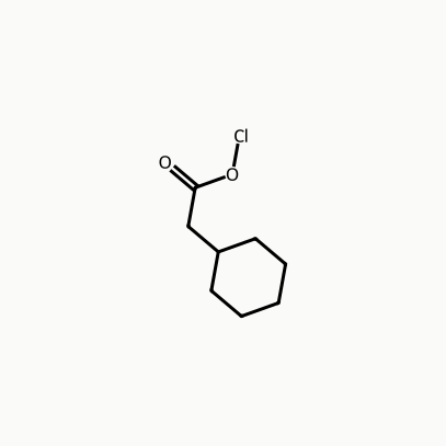 O=C(CC1CCCCC1)OCl